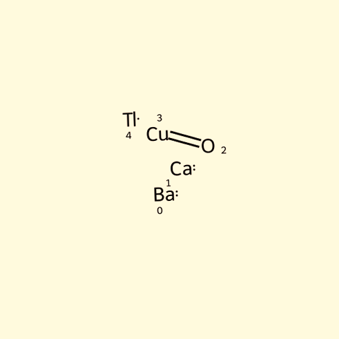 [Ba].[Ca].[O]=[Cu].[Tl]